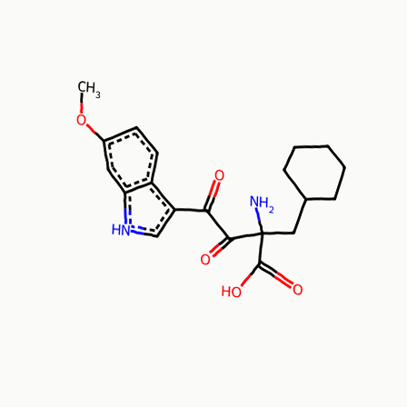 COc1ccc2c(C(=O)C(=O)C(N)(CC3CCCCC3)C(=O)O)c[nH]c2c1